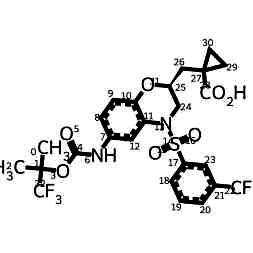 CC(C)(OC(=O)Nc1ccc2c(c1)N(S(=O)(=O)c1cccc(C(F)(F)F)c1)C[C@H](CC1(C(=O)O)CC1)O2)C(F)(F)F